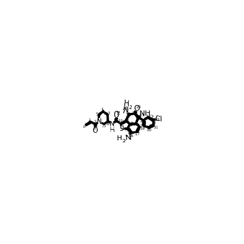 C=CC(=O)N1CCCC(NC(=O)c2sc3c(N)ccc4c3c2C(N)C(=O)C4(N)c2cccc(Cl)c2)C1